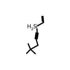 C=C[SiH2]C#CCC(C)(C)C